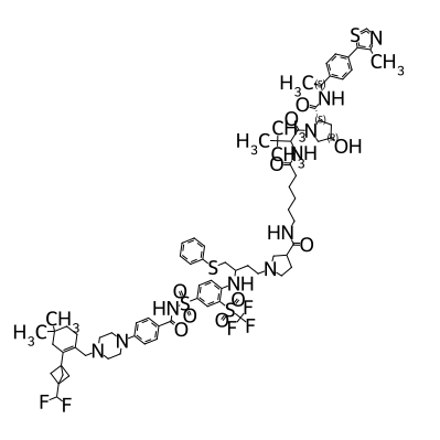 Cc1ncsc1-c1ccc([C@H](C)NC(=O)[C@@H]2C[C@@H](O)CN2C(=O)C(NC(=O)CCCCCNC(=O)C2CCN(CCC(CSc3ccccc3)Nc3ccc(S(=O)(=O)NC(=O)c4ccc(N5CCN(CC6=C(C78CC(C(F)F)(C7)C8)CC(C)(C)CC6)CC5)cc4)cc3S(=O)(=O)C(F)(F)F)C2)C(C)(C)C)cc1